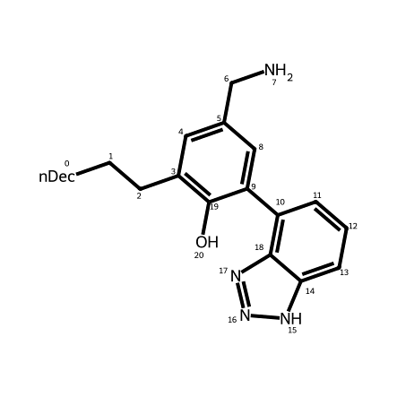 CCCCCCCCCCCCc1cc(CN)cc(-c2cccc3[nH]nnc23)c1O